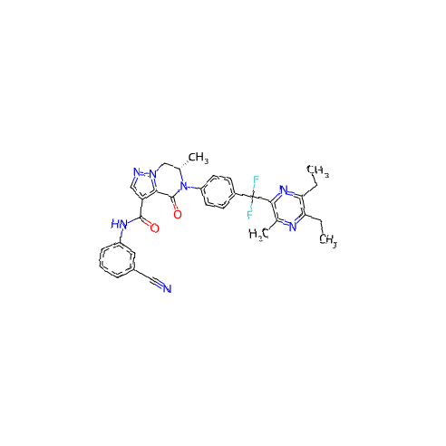 CCc1nc(C)c(C(F)(F)c2ccc(N3C(=O)c4c(C(=O)Nc5cccc(C#N)c5)cnn4C[C@@H]3C)cc2)nc1CC